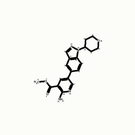 COC(=O)c1cc(-c2ccc3c(cnn3C3CCOCC3)c2)cnc1N